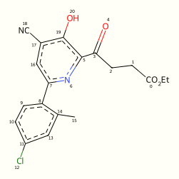 CCOC(=O)CCC(=O)c1nc(-c2ccc(Cl)cc2C)cc(C#N)c1O